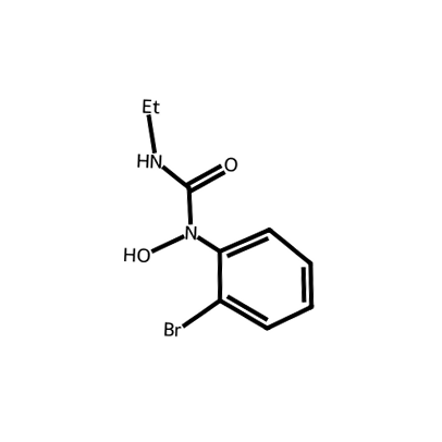 CCNC(=O)N(O)c1ccccc1Br